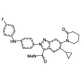 CNC(=O)c1c2cc(C3CC3)c(N3CCCCC3=O)cc2nn1-c1ccc(Nc2ccc(F)cc2)cc1